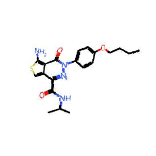 CCCCOc1ccc(-n2nc(C(=O)NC(C)C)c3csc(N)c3c2=O)cc1